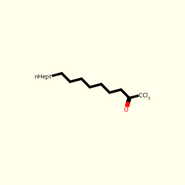 CCCCCCCCCCCCCCC(=O)C(Cl)(Cl)Cl